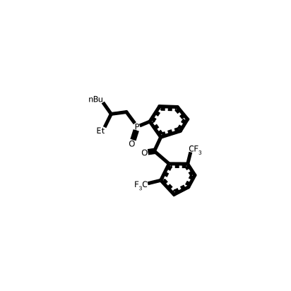 CCCCC(CC)C[P](=O)c1ccccc1C(=O)c1c(C(F)(F)F)cccc1C(F)(F)F